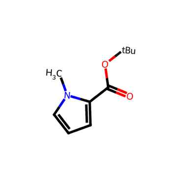 Cn1cccc1C(=O)OC(C)(C)C